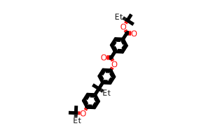 CCC(C)(C)OC(=O)c1ccc(C(=O)Oc2ccc(C(C)(CC)c3ccc(OC(C)(C)CC)cc3)cc2)cc1